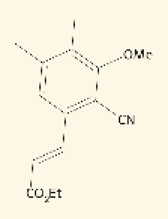 CCOC(=O)/C=C/c1cc(C)c(C)c(OC)c1C#N